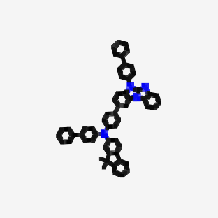 CC1(C)c2ccccc2-c2ccc(N(c3ccc(-c4ccccc4)cc3)c3ccc(-c4ccc5c(c4)n4c6ccccc6nc4n5-c4ccc(-c5ccccc5)cc4)cc3)cc21